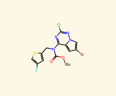 CC(C)(C)OC(=O)N(Cc1cc(F)cs1)c1nc(Cl)nn2cc(Br)cc12